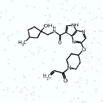 C=CC(=O)N1CCC(Oc2cnc3[nH]cc(C(=O)NCC4(O)CCC(C)C4)c3n2)CC1